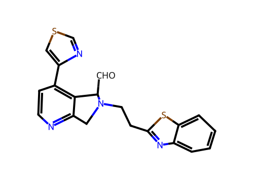 O=CC1c2c(-c3cscn3)ccnc2CN1CCc1nc2ccccc2s1